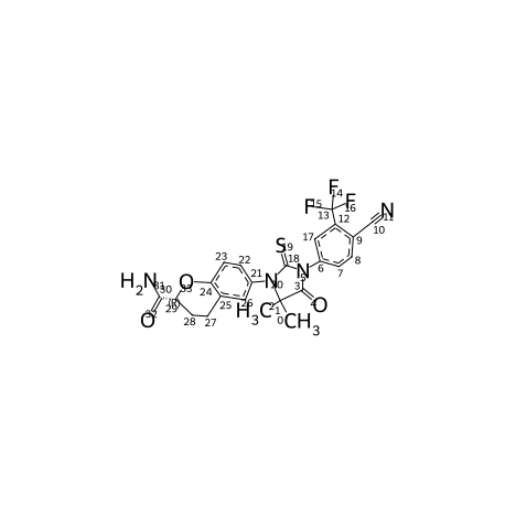 CC1(C)C(=O)N(c2ccc(C#N)c(C(F)(F)F)c2)C(=S)N1c1ccc2c(c1)CC[C@H](C(N)=O)O2